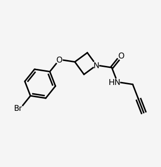 C#CCNC(=O)N1CC(Oc2ccc(Br)cc2)C1